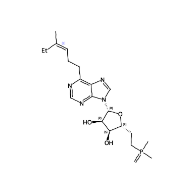 C=P(C)(C)CC[C@H]1O[C@@H](n2cnc3c(CC/C=C(/C)CC)ncnc32)[C@H](O)[C@@H]1O